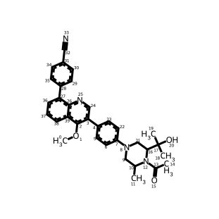 COc1c(-c2ccc(N3CC(C)N(C(C)=O)C(C(C)(C)O)C3)cc2)cnc2c(-c3ccc(C#N)cc3)cccc12